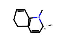 C[C@@H]1C=CC2=C(C=CCC2)N1C